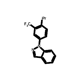 CC(C)c1ccc(-n2ncc3ccccc32)cc1C(F)(F)F